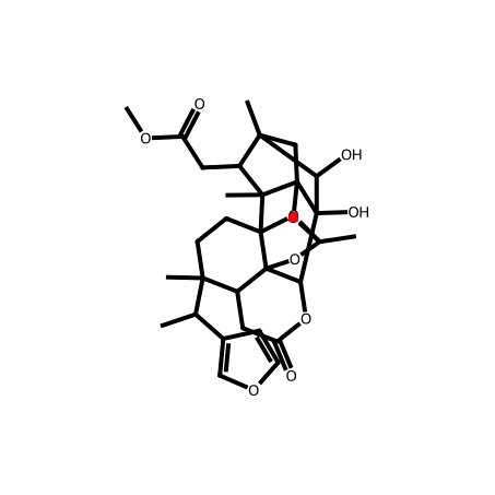 COC(=O)CC1C2(C)CC34OC5(C)OC67C(CC(=O)OC6C3(O)C2O)C(C)(C(C)c2ccoc2)CCC7(O5)C14C